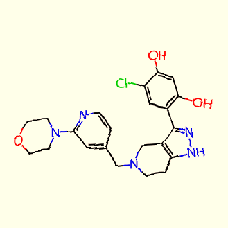 Oc1cc(O)c(-c2n[nH]c3c2CN(Cc2ccnc(N4CCOCC4)c2)CC3)cc1Cl